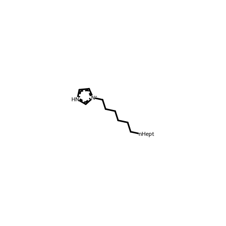 CCCCCCCCCCCCC[n+]1cc[nH]c1